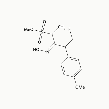 COc1ccc(C(CF)C(=NO)C(C)S(=O)(=O)OC)cc1